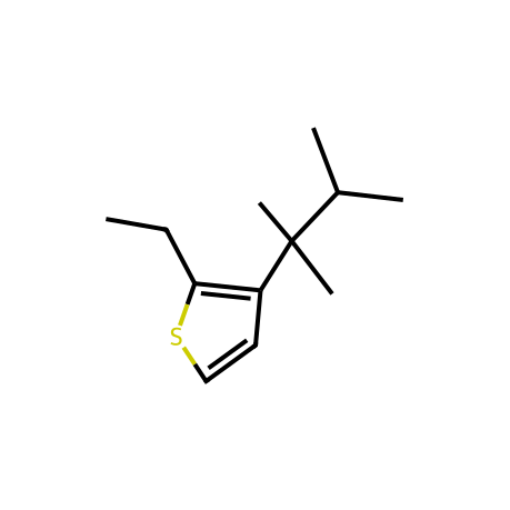 CCc1sccc1C(C)(C)C(C)C